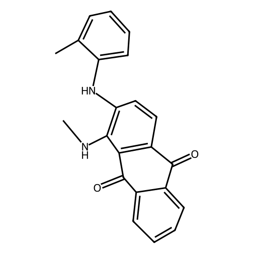 CNc1c(Nc2ccccc2C)ccc2c1C(=O)c1ccccc1C2=O